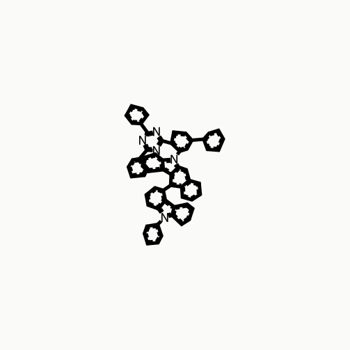 c1ccc(-c2ccc(-c3nc(-c4ccccc4)nc(-c4ccccc4)n3)c(-n3c4ccccc4c4c(-c5cccc6c5c5ccccc5n6-c5ccccc5)c5ccccc5cc43)c2)cc1